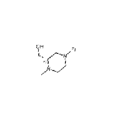 CCN1CCN(C)[C@H](CO)C1